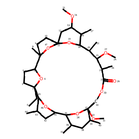 CCC12CCC(O1)C1(C)CCC3(CC(OC)C(C)C(O3)C(C)C(OC)C(C)C(=O)OCC3(OC)OC(C(C)CC3C)C3CC(C)C2O3)O1